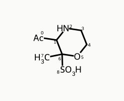 CC(=O)C1NCCOC1(C)S(=O)(=O)O